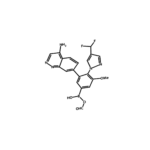 COc1cc(B(O)OC=O)cc(-c2ccc3c(N)cnnc3c2)c1-n1cc(C(F)F)cn1